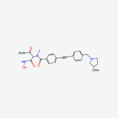 CNC(=O)C(C(=O)NO)N(C)C(=O)c1ccc(C#Cc2ccc(CN3CCC(OC)C3)cc2)cc1